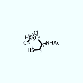 CC(=O)N[C@@H](CS)C(=O)O.[Cl][Co][Cl]